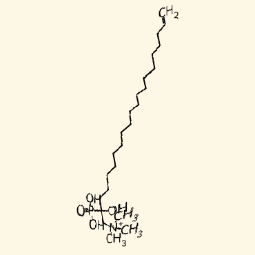 C=CCCCCCCCCCCCCCCCCCC(O)(C[N+](C)(C)C)P(=O)(O)O